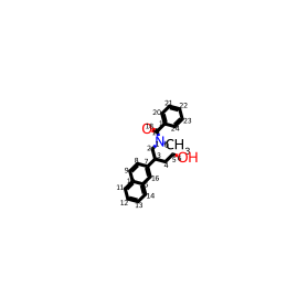 CN(CC(CCO)c1ccc2ccccc2c1)C(=O)c1ccccc1